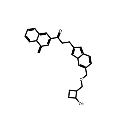 C=C1C=C(C(=O)CCC2=CC3C=C(COCC4CCC4O)C=CC3=C2)C=C2C=CC=CC12